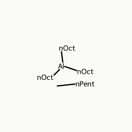 CCCCCC.CCCCCCC[CH2][Al]([CH2]CCCCCCC)[CH2]CCCCCCC